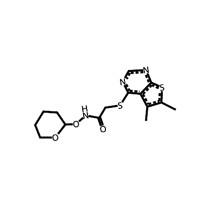 Cc1sc2ncnc(SCC(=O)NOC3CCCCO3)c2c1C